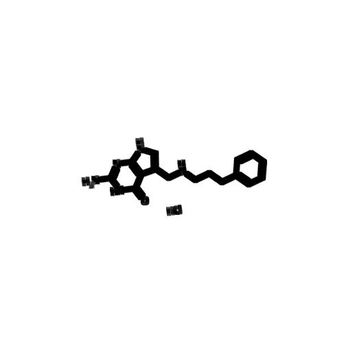 Cl.Nc1nc2[nH]cc(CNCCCc3ccccc3)c2c(=O)[nH]1